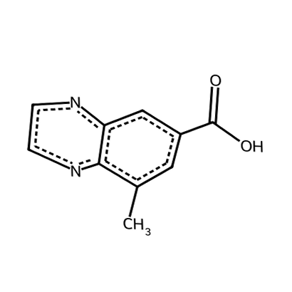 Cc1cc(C(=O)O)cc2nccnc12